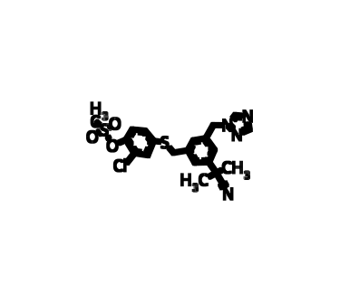 CC(C)(C#N)c1cc(CSc2ccc(OS(C)(=O)=O)c(Cl)c2)cc(Cn2cncn2)c1